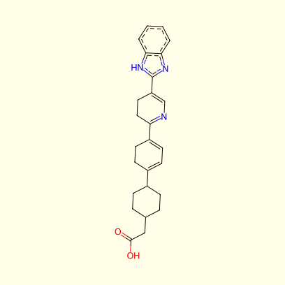 O=C(O)CC1CCC(C2=CC=C(C3=NC=C(c4nc5ccccc5[nH]4)CC3)CC2)CC1